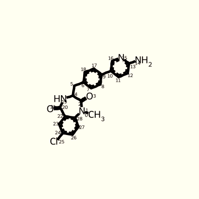 CN1C(=O)C(Cc2ccc(-c3ccc(N)nc3)cc2)NC(=O)c2cc(Cl)ccc21